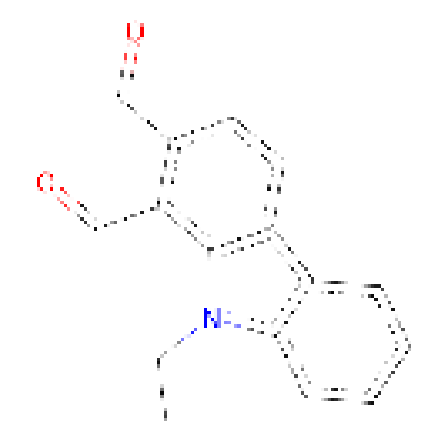 CCn1c2ccccc2c2ccc(C=O)c(C=O)c21